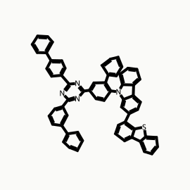 c1ccc(-c2ccc(-c3nc(-c4cccc(-c5ccccc5)c4)nc(-c4ccc(-n5c6ccccc6c6ccc(-c7cccc8c7sc7ccccc78)cc65)c(-c5ccccc5)c4)n3)cc2)cc1